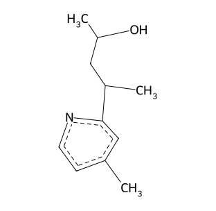 Cc1ccnc(C(C)CC(C)O)c1